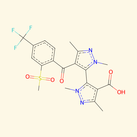 Cc1nn(C)c(-c2c(C(=O)c3ccc(C(F)(F)F)cc3S(C)(=O)=O)c(C)nn2C)c1C(=O)O